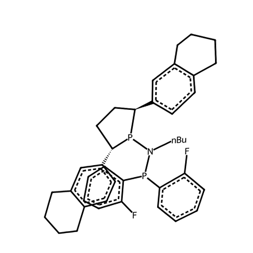 CCCCN(P(c1ccccc1F)c1ccccc1F)P1[C@H](c2ccc3c(c2)CCCC3)CC[C@H]1c1ccc2c(c1)CCCC2